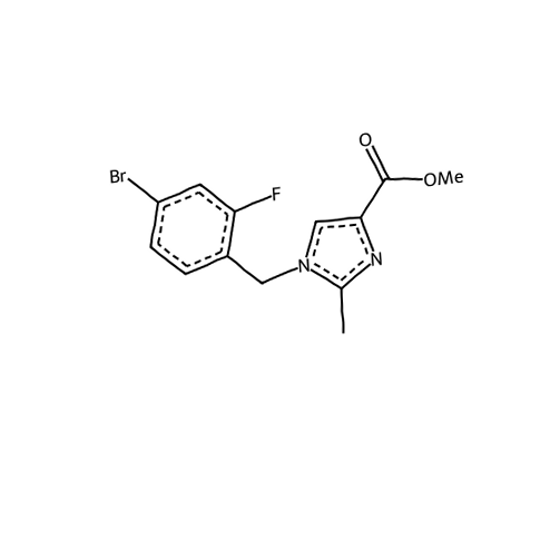 COC(=O)c1cn(Cc2ccc(Br)cc2F)c(C)n1